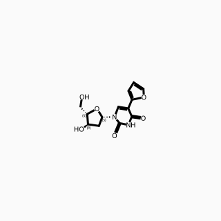 O=c1[nH]c(=O)n([C@@H]2C[C@@H](O)[C@H](CO)O2)cc1-c1ccco1